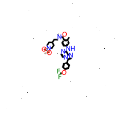 Cc1cc(Nc2nccn3c(-c4ccc(OC(F)F)cc4)cnc23)ccc1C(=O)N(C)CCC1CCN(S(C)(=O)=O)CC1